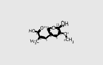 COc1cc(C=C(C)C(=O)O)ccc1O